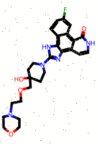 O=c1[nH]ccc2c3nc(N4CCC(O)(COCCN5CCOCC5)CC4)[nH]c3c3ccc(F)cc3c12